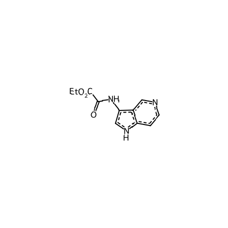 CCOC(=O)C(=O)Nc1c[nH]c2ccncc12